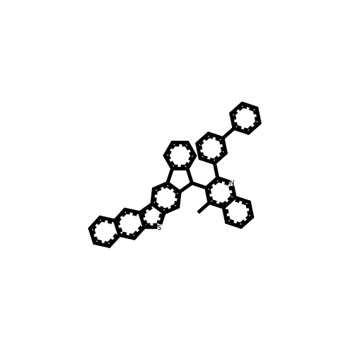 Cc1c(C2c3ccccc3-c3cc4c(cc32)sc2cc3ccccc3cc24)c(-c2cccc(-c3ccccc3)c2)nc2ccccc12